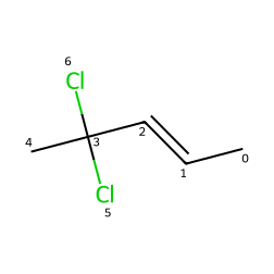 CC=CC(C)(Cl)Cl